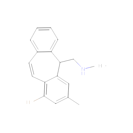 Cc1cc(S)c2c(c1)C(CNC=O)c1ccccc1C=C2